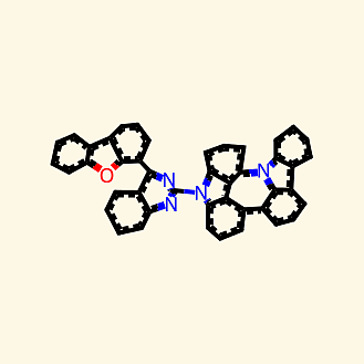 c1ccc2c(-c3cccc4c3oc3ccccc34)nc(-n3c4cccc5c6cccc7c8ccccc8n(c8cccc3c8c54)c67)nc2c1